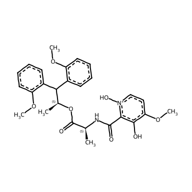 COc1ccccc1C(c1ccccc1OC)[C@H](C)OC(=O)[C@H](C)NC(=O)c1c(O)c(OC)cc[n+]1O